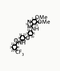 COc1cc2ncnc(Nc3ccc(Oc4cccc(NC(=O)c5cccc(C(F)(F)F)c5)c4)cc3)c2cc1OC